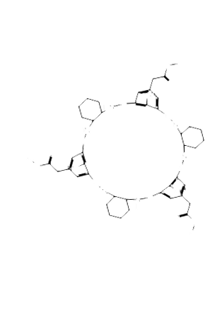 COC(=O)Cc1cc2c(O)c(c1)CNC1CCCCC1NCc1cc(CC(=O)OC)cc(c1O)CNC1CCCCC1NCc1cc(CC(=O)OC)cc(c1O)CNC1CCCCC1NC2